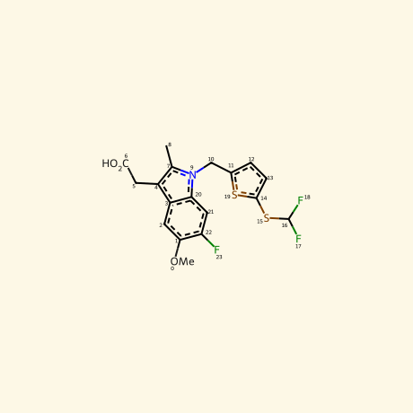 COc1cc2c(CC(=O)O)c(C)n(Cc3ccc(SC(F)F)s3)c2cc1F